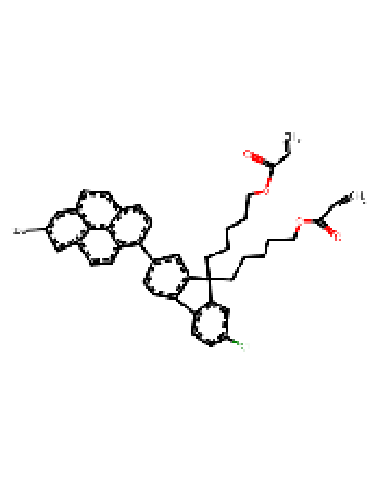 C=CC(=O)OCCCCCC1(CCCCCOC(=O)C=C)c2cc(Cl)ccc2-c2ccc(-c3ccc4ccc5cc(C(C)(C)C)cc6ccc3c4c56)cc21